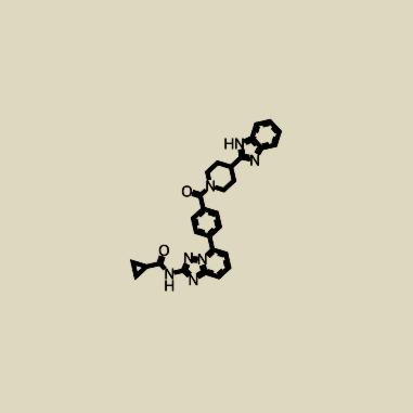 O=C(Nc1nc2cccc(-c3ccc(C(=O)N4CCC(c5nc6ccccc6[nH]5)CC4)cc3)n2n1)C1CC1